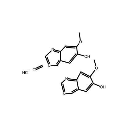 C=O.COc1cc2ncncc2cc1O.COc1cc2ncncc2cc1O.Cl